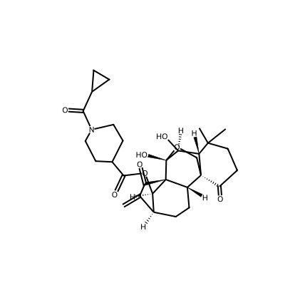 C=C1C(=O)[C@]23[C@H](OC(=O)C4CCN(C(=O)C5CC5)CC4)[C@H]1CC[C@H]2[C@@]12CO[C@]3(O)[C@@H](O)[C@@H]1C(C)(C)CCC2=O